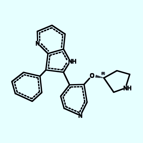 c1ccc(-c2c(-c3ccncc3O[C@@H]3CCNC3)[nH]c3cccnc23)cc1